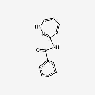 O=C(NC1=NNC=CC=C1)c1ccccc1